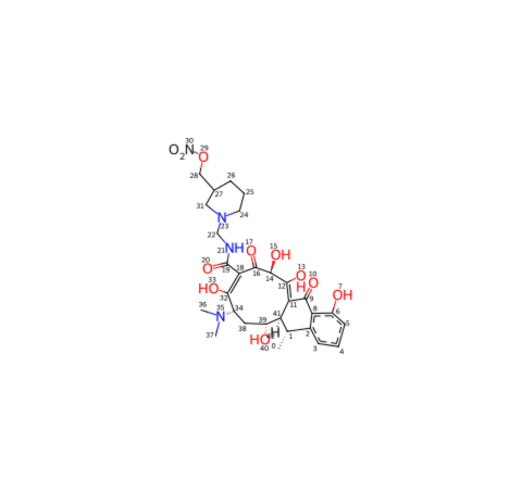 C[C@H]1c2cccc(O)c2C(=O)/C2=C(\O)[C@H](O)C(=O)/C(C(=O)NCN3CCCC(CO[N+](=O)[O-])C3)=C(/O)[C@@H](N(C)C)C[C@@H](O)[C@@H]21